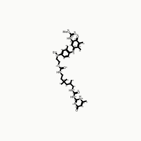 CCN(CCOC(=O)NCCC(C)(C)CC(C)CNC(=O)Nc1nc(=O)cc(C)[nH]1)c1ccc(/N=C2\C=C(NC(=O)OC)C(=O)C(C)=C2C)c(C)c1